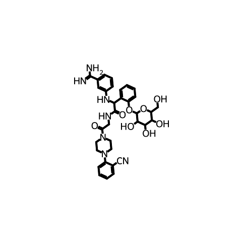 N#Cc1ccccc1N1CCN(C(=O)CNC(=O)C(Nc2cccc(C(=N)N)c2)c2ccccc2OC2OC(CO)C(O)C(O)C2O)CC1